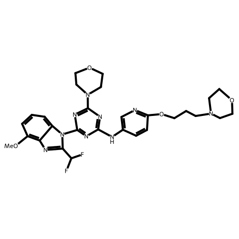 COc1cccc2c1nc(C(F)F)n2-c1nc(Nc2ccc(OCCCN3CCOCC3)nc2)nc(N2CCOCC2)n1